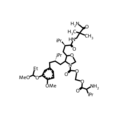 CCC(OC)Oc1cc(C[C@@H](CC2C(C[C@H](C(=O)NCC(C)(C)C(N)=O)C(C)C)OCN2C(=O)OCOC(=O)C(N)C(C)C)C(C)C)ccc1OC